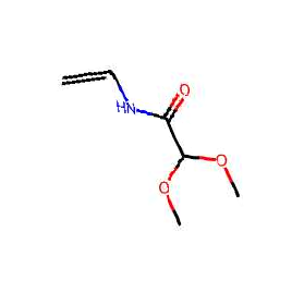 C=CNC(=O)C(OC)OC